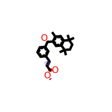 COC(=O)/C=C/c1cccc(C(=O)c2cc3c(cc2C)C(C)(C)CCC3(C)C)c1